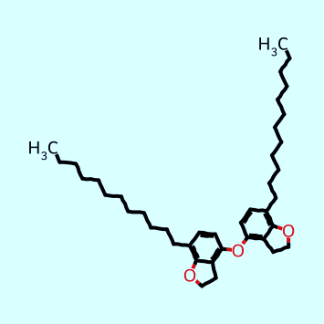 CCCCCCCCCCCCc1ccc(Oc2ccc(CCCCCCCCCCCC)c3c2CCO3)c2c1OCC2